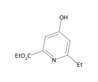 CCOC(=O)c1cc(O)cc(CC)n1